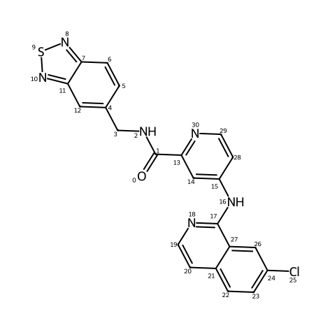 O=C(NCc1ccc2nsnc2c1)c1cc(Nc2nccc3ccc(Cl)cc23)ccn1